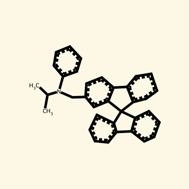 CC(C)N(Cc1ccc2c(c1)C1(c3ccccc3-c3ccccc31)c1ccccc1-2)c1ccccc1